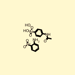 CC(=O)Nc1ccc([As](=O)(O)OO)cc1.Nc1ccccc1[N+](=O)[O-]